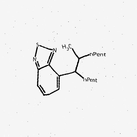 CCCCCC(C)C(CCCCC)c1cccc2nsnc12